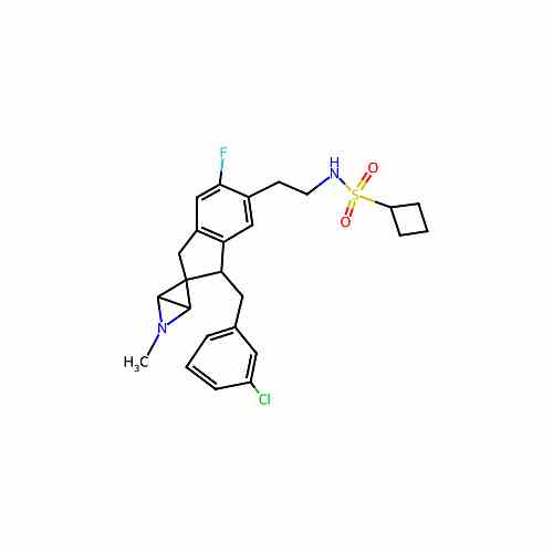 CN1C2C1C21Cc2cc(F)c(CCNS(=O)(=O)C3CCC3)cc2C1Cc1cccc(Cl)c1